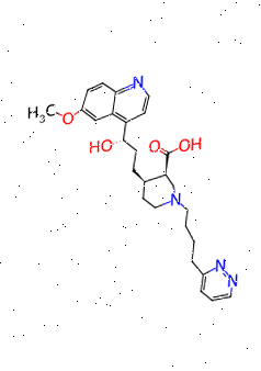 COc1ccc2nccc([C@@H](O)CC[C@@H]3CCN(CCCCc4cccnn4)C[C@@H]3C(=O)O)c2c1